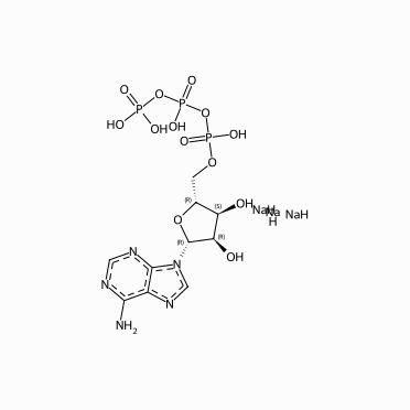 Nc1ncnc2c1ncn2[C@@H]1O[C@H](COP(=O)(O)OP(=O)(O)OP(=O)(O)O)[C@@H](O)[C@H]1O.[NaH].[NaH].[NaH]